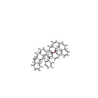 c1ccc(N(c2ccc(-c3cccc4ccc5ccc6ccccc6c5c34)cc2)c2cccc3cc4sc5ccccc5c4cc23)cc1